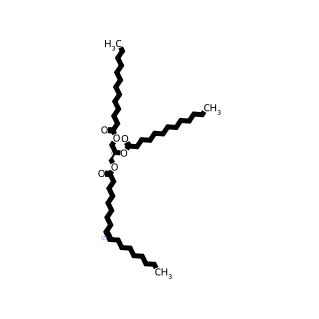 CCCCCCCC/C=C\CCCCCCCC(=O)OC[C@@H](COC(=O)CCCCCCCCCCCC)OC(=O)CCCCCCCCCCCC